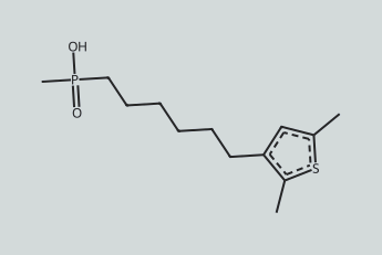 Cc1cc(CCCCCCP(C)(=O)O)c(C)s1